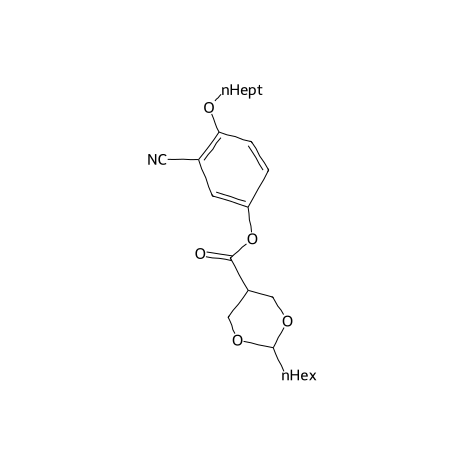 CCCCCCCOc1ccc(OC(=O)C2COC(CCCCCC)OC2)cc1C#N